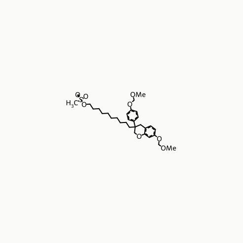 COCOc1ccc(C2(CCCCCCCCCCOS(C)(=O)=O)COc3cc(OCOC)ccc3C2)cc1